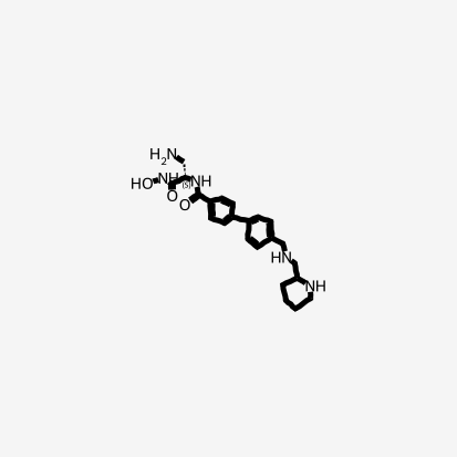 NC[C@H](NC(=O)c1ccc(-c2ccc(CNCC3CCCCN3)cc2)cc1)C(=O)NO